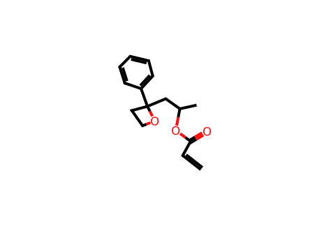 C=CC(=O)OC(C)CC1(c2ccccc2)CCO1